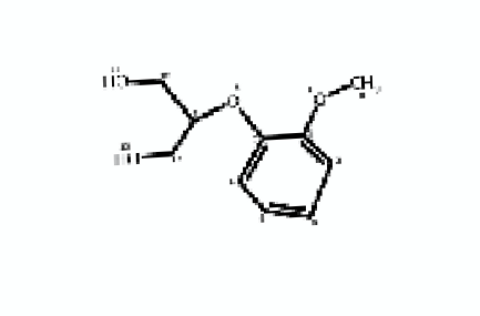 COc1ccccc1OC(CO)CO